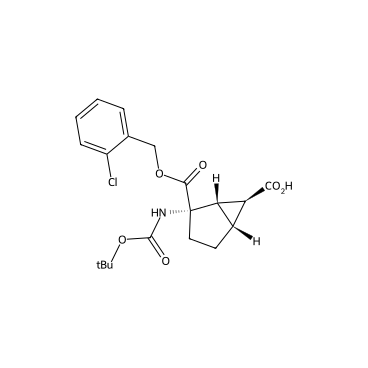 CC(C)(C)OC(=O)N[C@@]1(C(=O)OCc2ccccc2Cl)CC[C@H]2[C@H](C(=O)O)[C@H]21